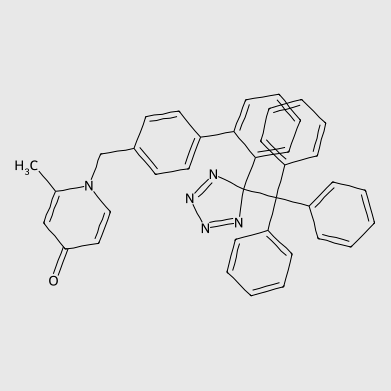 Cc1cc(=O)ccn1Cc1ccc(-c2ccccc2C2(C(c3ccccc3)(c3ccccc3)c3ccccc3)N=NN=N2)cc1